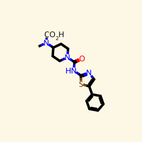 CN(C(=O)O)C1CCN(C(=O)Nc2ncc(-c3ccccc3)s2)CC1